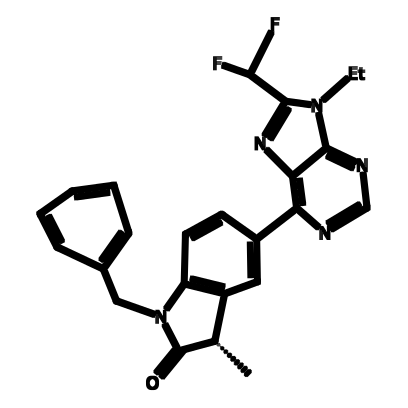 CCn1c(C(F)F)nc2c(-c3ccc4c(c3)[C@H](C)C(=O)N4Cc3ccccc3)ncnc21